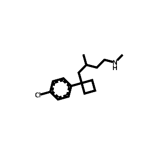 CNCCC(C)CC1(c2ccc(Cl)cc2)CCC1